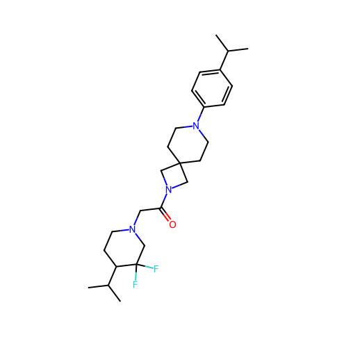 CC(C)c1ccc(N2CCC3(CC2)CN(C(=O)CN2CCC(C(C)C)C(F)(F)C2)C3)cc1